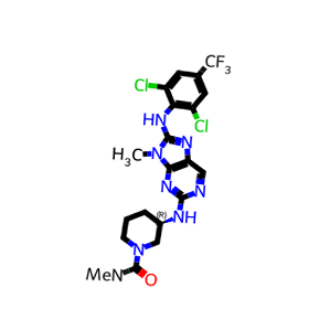 CNC(=O)N1CCC[C@@H](Nc2ncc3nc(Nc4c(Cl)cc(C(F)(F)F)cc4Cl)n(C)c3n2)C1